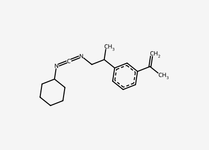 C=C(C)c1cccc(C(C)CN=C=NC2CCCCC2)c1